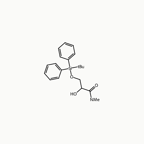 CNC(=O)C(O)CO[Si](c1ccccc1)(c1ccccc1)C(C)(C)C